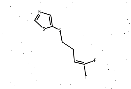 FC(F)=CCCSc1cncs1